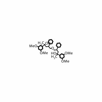 COc1cc(OC)cc(C(C)(O)CC(COCC(CC(C)(O)c2cc(OC)cc(OC)c2)c2ccccc2)c2ccccc2)c1